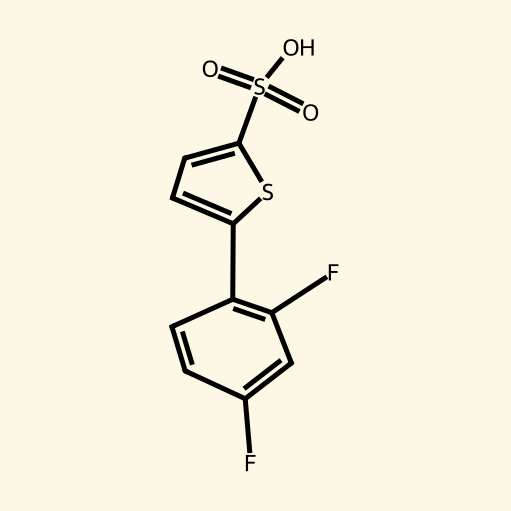 O=S(=O)(O)c1ccc(-c2ccc(F)cc2F)s1